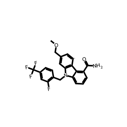 COCc1c[c]c2c3c(C(N)=O)cccc3n(Cc3ccc(C(F)(F)F)cc3F)c2c1